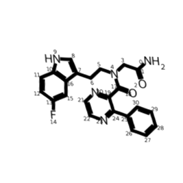 NC(=O)CN(CCc1c[nH]c2ccc(F)cc12)C(=O)c1nccnc1-c1ccccc1